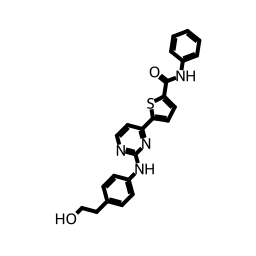 O=C(Nc1ccccc1)c1ccc(-c2ccnc(Nc3ccc(CCO)cc3)n2)s1